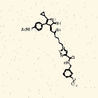 CC(=O)Nc1ccc(C2=C(C3CC3)NC(=N)/C2=C\C(=N)CCCCn2cc(C(=O)NCc3cccc(OC(F)(F)F)c3)nn2)cc1